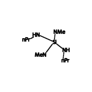 CCCN[Si](NC)(NC)NCCC